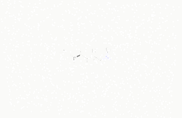 CCCN(CC)C[SiH2]CC=C(C)C